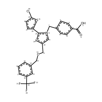 O=C(O)c1ccc(Cn2cc(COCc3cccc(C(F)(F)F)c3)nc2-c2ccc(Cl)s2)cc1